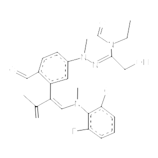 C=C(C)/C(=C/N(C)c1c(F)cccc1Cl)c1cc(N(C)/N=C(/CO)N(C=O)CC)ccc1C=O